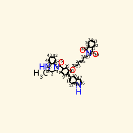 CC1CCN(C(=O)c2ccc(-c3ccc4[nH]ccc4c3)c(OCCCCCCN3C(=O)c4ccccc4C3=O)c2)c2ccccc2N1